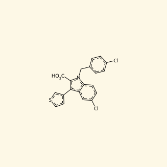 O=C(O)c1c(-c2ccsc2)c2cc(Cl)ccc2n1Cc1ccc(Cl)cc1